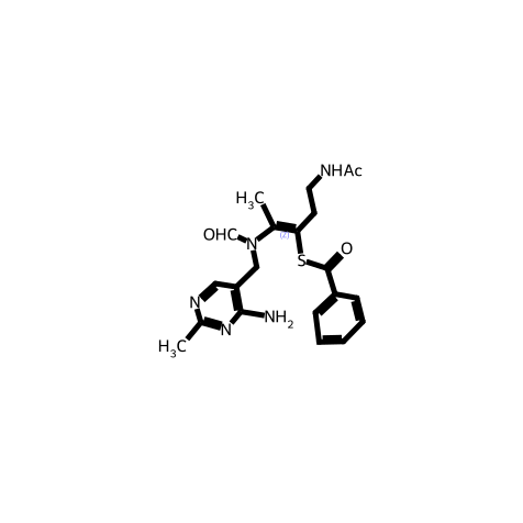 CC(=O)NCC/C(SC(=O)c1ccccc1)=C(\C)N(C=O)Cc1cnc(C)nc1N